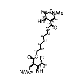 CN/C=C(\C(=N)C(F)F)C(=O)OCCCCCCOC(=O)/C(=C/NC)C(=N)C(F)F